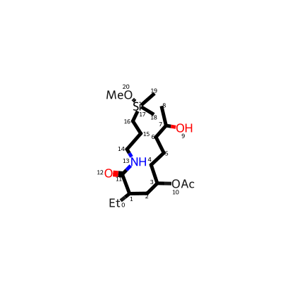 CCC(CC(CCCC(C)O)OC(C)=O)C(=O)NCCC[Si](C)(C)OC